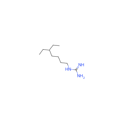 CCC(CC)CCCCNC(=N)N